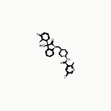 Cc1ncc(Cl)cc1C(=O)NC1CCC(CN2C(=O)C(O)(c3cccc(F)c3F)c3ccccc32)CC1